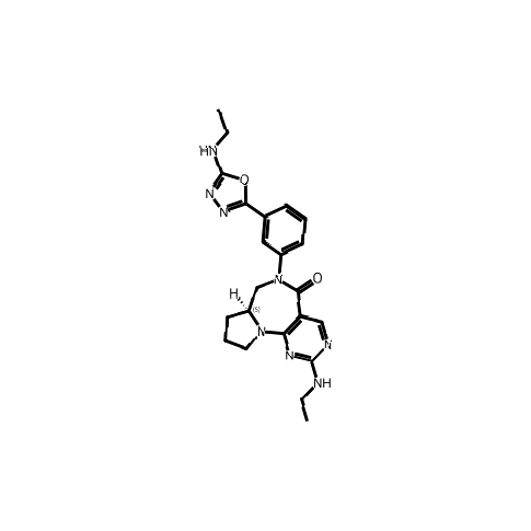 CCNc1ncc2c(n1)N1CCC[C@H]1CN(c1cccc(-c3nnc(NCC)o3)c1)C2=O